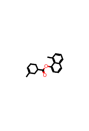 CC1=CCCC(C(=O)Oc2cccc3cccc(C)c23)C1